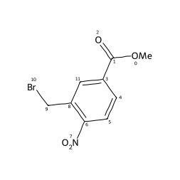 COC(=O)c1ccc([N+](=O)[O-])c(CBr)c1